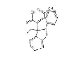 CCC1(C(=CC(=O)O)C(=O)O)c2ccccc2CN1c1ccncc1